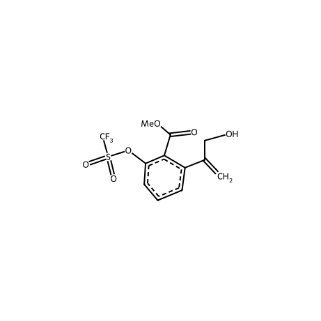 C=C(CO)c1cccc(OS(=O)(=O)C(F)(F)F)c1C(=O)OC